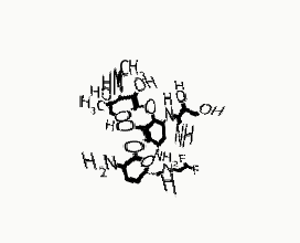 CN[C@@H]1C(O)[C@@H](OC2C(O)C(O[C@H]3O[C@H](CNCC(F)F)CCC3N)[C@@H](N)C[C@H]2NC(=N)C(O)CO)OCC1(C)O